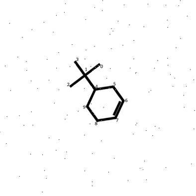 CC(C)(C)C1CC=CCC1